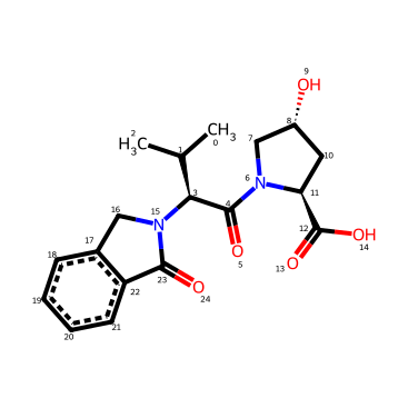 CC(C)[C@@H](C(=O)N1C[C@H](O)C[C@H]1C(=O)O)N1Cc2ccccc2C1=O